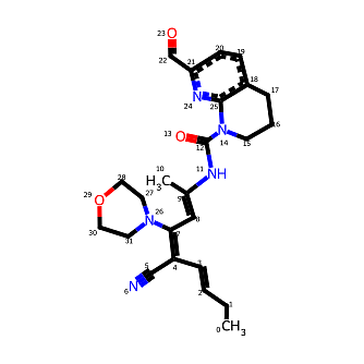 CC/C=C/C(C#N)=C(\C=C(/C)NC(=O)N1CCCc2ccc(C=O)nc21)N1CCOCC1